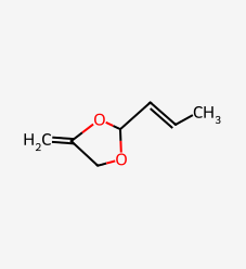 C=C1COC(C=CC)O1